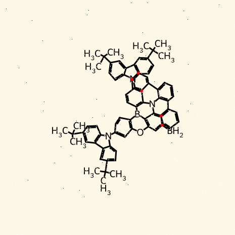 Bc1cc2c3c(c1)N(c1c(-c4ccccc4)cccc1-c1ccccc1)c1cc(-n4c5ccc(C(C)(C)C)cc5c5cc(C(C)(C)C)ccc54)ccc1B3c1ccc(-n3c4ccc(C(C)(C)C)cc4c4cc(C(C)(C)C)ccc43)cc1O2